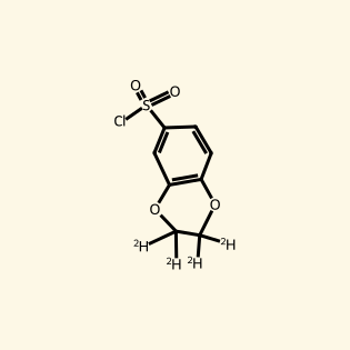 [2H]C1([2H])Oc2ccc(S(=O)(=O)Cl)cc2OC1([2H])[2H]